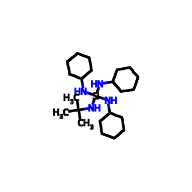 CC(C)(C)N[Si](NC1CCCCC1)(NC1CCCCC1)NC1CCCCC1